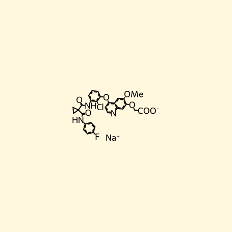 COc1cc2c(Oc3cccc(NC(=O)C4(C(=O)Nc5ccc(F)cc5)CC4)c3Cl)ccnc2cc1OCC(=O)[O-].[Na+]